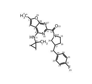 Cc1cc2c(NC3(C)CC3)nc(C(=O)N3CCC(Cc4ccc(F)cc4)C3)nc2o1